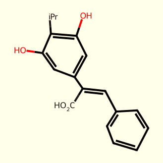 CC(C)c1c(O)cc(C(=Cc2ccccc2)C(=O)O)cc1O